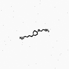 CCCCC[C@H]1CC[C@H](OCCC)CC1